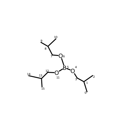 CC(C)COB(OCC(C)C)OCC(C)C